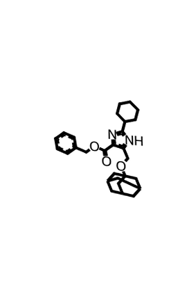 O=C(OCc1ccccc1)c1nc(C2CCCCC2)[nH]c1COC12CC3CC(CC(C3)C1)C2